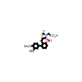 CCOc1cccc(-c2ccc(OC)c(C(C)(C)C)c2)c1/C=C1/SC(=S)N(CC(=O)O)C1=O